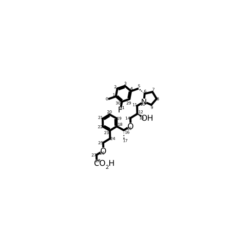 Cc1ccc(C[C@@H]2CCCN2C[C@@H](O)CO[C@H](C)c2ccccc2CCOCC(=O)O)cc1F